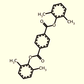 Cc1cccc(C)c1OC(=O)c1ccc(C(=O)Oc2c(C)cccc2C)cc1